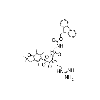 Cc1c(C)c(S(=O)(=O)C(=O)[C@H](CCCNC(=N)N)NC(=O)CNC(=O)OCC2c3ccccc3-c3ccccc32)c(C)c2c1OC(C)(C)C2